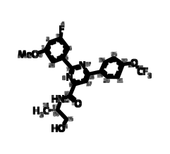 COc1cc(F)cc(-c2nc(C(=O)N[C@@H](C)CO)cc(-c3ccc(OC(F)(F)F)cc3)n2)c1